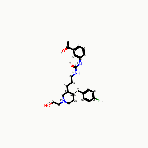 CC(=O)c1cccc(NC(=O)NCCCC2CN(CCO)CC[C@H]2Cc2ccc(F)cc2)c1